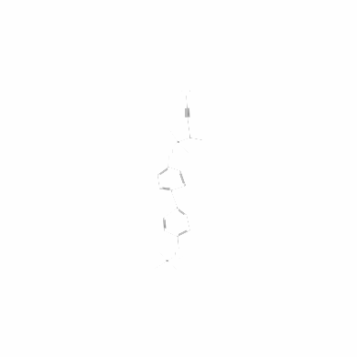 CC(C#CO)C(C)(C)Oc1ccc(-c2ccc(OC(C)(C)C)cc2)cc1